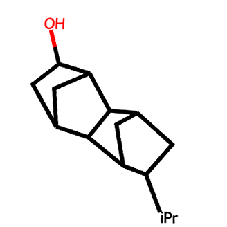 CC(C)C1CC2CC1C1C3CC(O)C(C3)C21